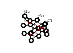 CC(C)(C)c1cc(-c2ccc3sc4ccc(C(C)(C)C)cc4c3c2)c(N2c3ccc(-c4ccccc4)cc3B3c4cc(-c5ccccc5)ccc4N(c4c(-c5cccc6sc7ccccc7c56)cccc4-n4c5ccccc5c5ccccc54)c4cc(-n5c6ccccc6c6cc(C#N)ccc65)cc2c43)c(-n2c3ccccc3c3ccccc32)c1